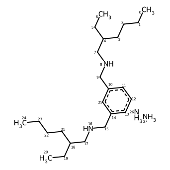 CCCCC(CC)CNCc1cccc(CNCC(CC)CCCC)c1.N.N